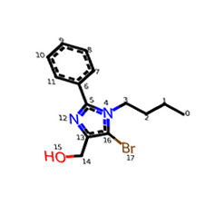 CCCCn1c(-c2ccccc2)nc(CO)c1Br